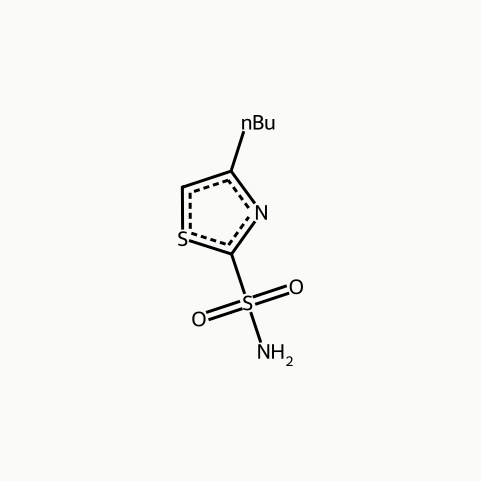 CCCCc1csc(S(N)(=O)=O)n1